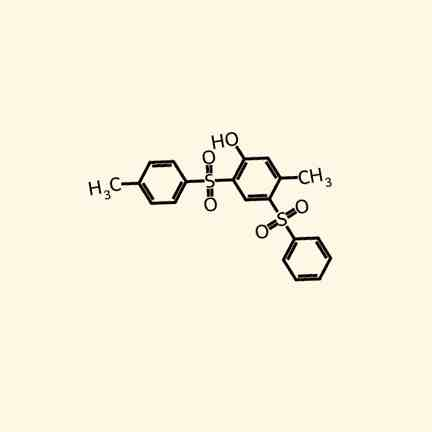 Cc1ccc(S(=O)(=O)c2cc(S(=O)(=O)c3ccccc3)c(C)cc2O)cc1